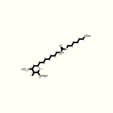 CCCCCCCCCCCCCCCCOC(=O)NCCCCCCCCCC(C(=O)O)C(C)C(F)CCCCCCC